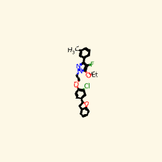 CCOc1c(F)c(-c2cccc(C)c2)nn1CCOc1ccc(-c2cc3ccccc3o2)cc1Cl